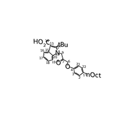 CCCCCCCCc1ccc(OCC(=O)Cn2c(C(C)(C)C)c(C(=O)O)c3ccccc32)cc1